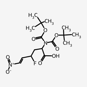 CC(C)(C)OC(=O)N(C(=O)OC(C)(C)C)C(CC(F)/C=C/[N+](=O)[O-])C(=O)O